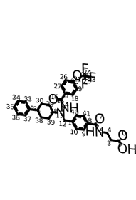 O=C(O)CCNC(=O)c1ccc(CN(NC(=O)c2ccc(OC(F)(F)F)cc2)C2CCC(c3ccccc3)CC2)cc1